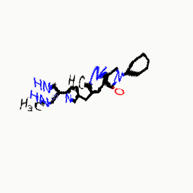 CN/C=C(\C=N)c1ccc(Cc2cc3c(nc2C)CN(C2CCCCC2)C3=O)cn1